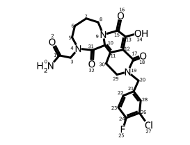 NC(=O)CN1CCCCn2c(c3c(c(O)c2=O)C(=O)N(Cc2ccc(F)c(Cl)c2)CC3)C1=O